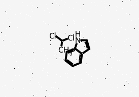 CC(Cl)Cl.c1ccc2[nH]ccc2c1